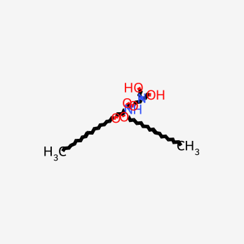 CCCCCCCCC=CCCCCCCCCOCC(CNC(=O)OCCN(CCO)CCO)OCCCCCCCCC=CCCCCCCCC